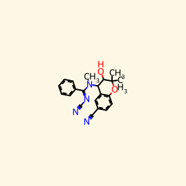 CN(C(=NC#N)c1ccccc1)C1c2cc(C#N)ccc2OC(C)(C)C1O